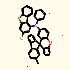 Cc1ccc2c(c1)C1(c3ccccc3Oc3ccc(N(c4ccccc4)c4cc(Cl)cc5sc6ccccc6c45)cc31)c1ccccc1-2